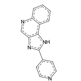 c1ccc2c(c1)ncc1nc(-c3ccncc3)[nH]c12